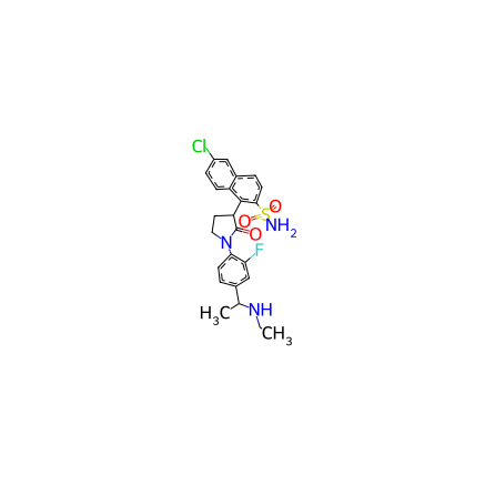 CCNC(C)c1ccc(N2CCC(c3c(S(N)(=O)=O)ccc4cc(Cl)ccc34)C2=O)c(F)c1